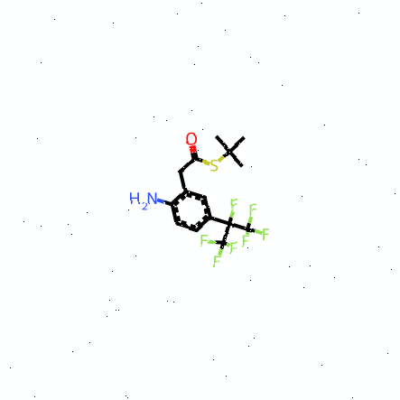 CC(C)(C)SC(=O)Cc1cc(C(F)(C(F)(F)F)C(F)(F)F)ccc1N